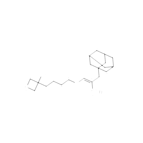 CCCCC1(CCCCOC=C(CC23CC4CC(CC(C4)C2)C3)C(=O)O)COC1